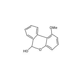 COc1cccc2c1-c1ccccc1C(O)O2